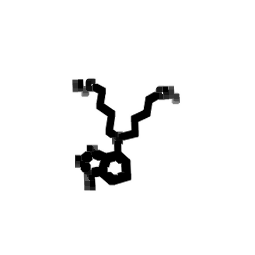 CCCCCN(CCCCC)c1cccc2[nH]nnc12